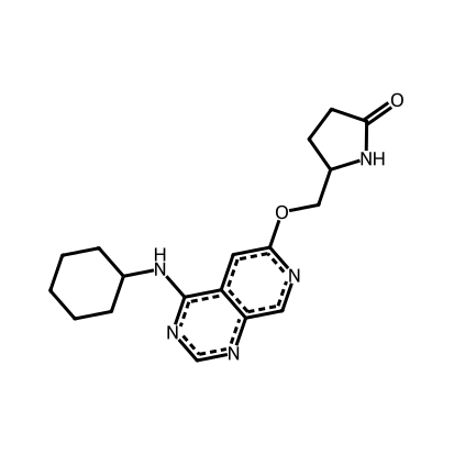 O=C1CCC(COc2cc3c(NC4CCCCC4)ncnc3cn2)N1